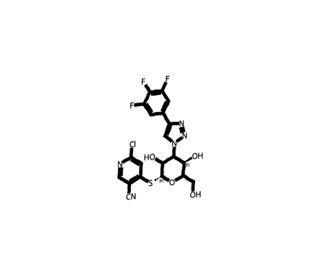 N#Cc1cnc(Cl)cc1S[C@H]1OC(CO)[C@H](O)C(n2cc(-c3cc(F)c(F)c(F)c3)nn2)C1O